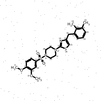 COc1ccc(S(=O)(=O)N2CCN(c3nc(Cc4cccc(C)c4C)cs3)CC2)cc1OC